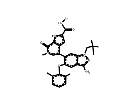 CCNC(=O)c1cc2c(-c3cc4c(cc3Oc3c(C)cccc3C)c(N)nn4CC(C)(C)F)cn(C)c(=O)c2[nH]1